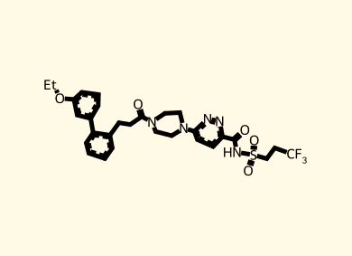 CCOc1cccc(-c2ccccc2CCC(=O)N2CCN(c3ccc(C(=O)NS(=O)(=O)CCC(F)(F)F)nn3)CC2)c1